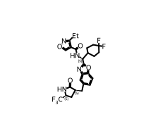 CCc1nocc1C(=O)N[C@H](c1nc2cc(C[C@H]3C[C@@H](C(F)(F)F)NC3=O)ccc2o1)C1CCC(F)(F)CC1